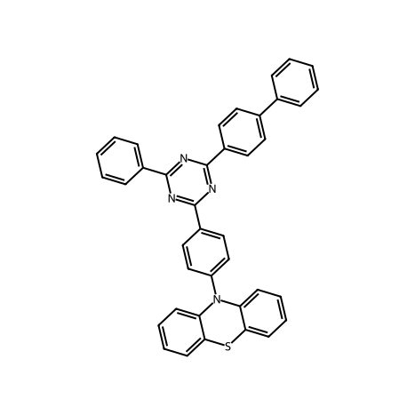 c1ccc(-c2ccc(-c3nc(-c4ccccc4)nc(-c4ccc(N5c6ccccc6Sc6ccccc65)cc4)n3)cc2)cc1